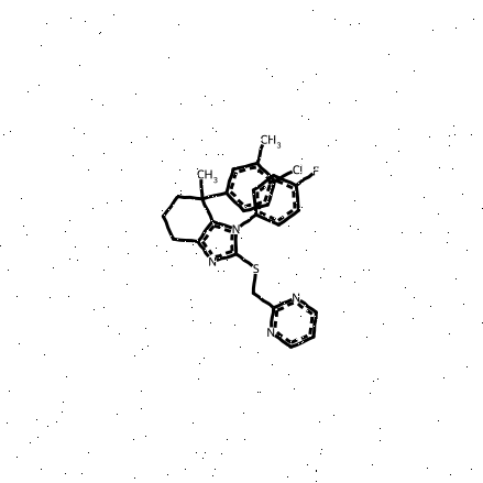 Cc1cc(C2(C)CCCc3nc(SCc4ncccn4)n(-c4ccc(F)cc4)c32)ccc1Cl